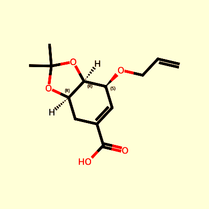 C=CCO[C@H]1C=C(C(=O)O)C[C@H]2OC(C)(C)O[C@@H]12